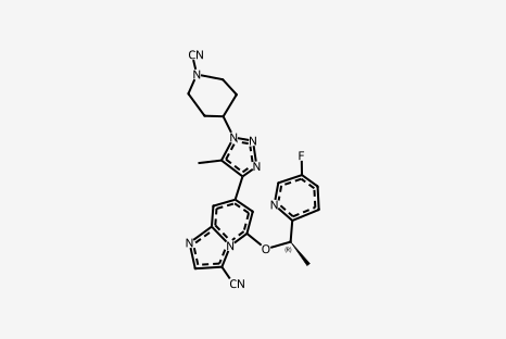 Cc1c(-c2cc(O[C@H](C)c3ccc(F)cn3)n3c(C#N)cnc3c2)nnn1C1CCN(C#N)CC1